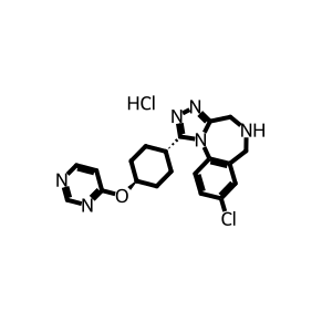 Cl.Clc1ccc2c(c1)CNCc1nnc([C@H]3CC[C@H](Oc4ccncn4)CC3)n1-2